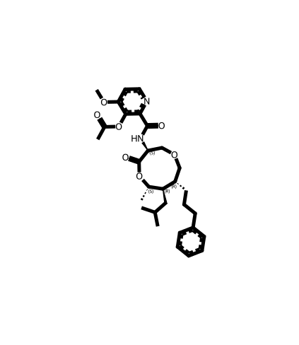 COc1ccnc(C(=O)N[C@H]2COC[C@H](CCCc3ccccc3)[C@@H](CC(C)C)[C@H](C)OC2=O)c1OC(C)=O